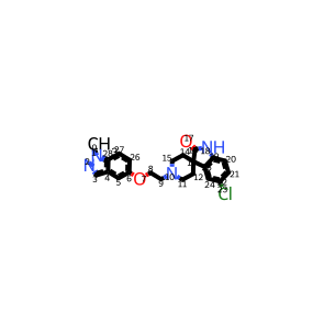 Cn1ncc2cc(OCCN3CCC4(CC3)C(=O)Nc3ccc(Cl)cc34)ccc21